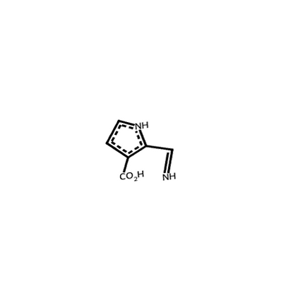 N=Cc1[nH]ccc1C(=O)O